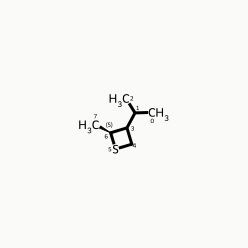 CC(C)C1CS[C@H]1C